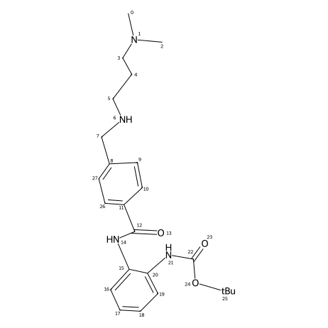 CN(C)CCCNCc1ccc(C(=O)Nc2ccccc2NC(=O)OC(C)(C)C)cc1